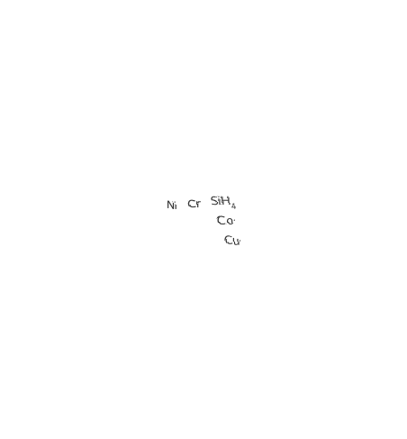 [Co].[Cr].[Cu].[Ni].[SiH4]